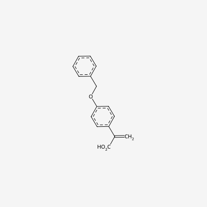 C=C(C(=O)O)c1ccc(OCc2ccccc2)cc1